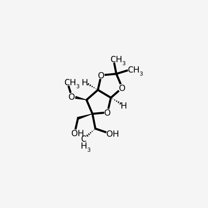 CO[C@H]1[C@H]2OC(C)(C)O[C@H]2O[C@]1(CO)[C@@H](C)O